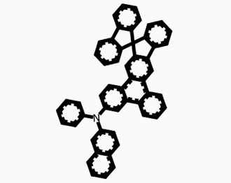 c1ccc(N(c2ccc3ccccc3c2)c2ccc3c(c2)c2ccccc2c2cc4c(cc32)C2(c3ccccc3-c3ccccc32)c2ccccc2-4)cc1